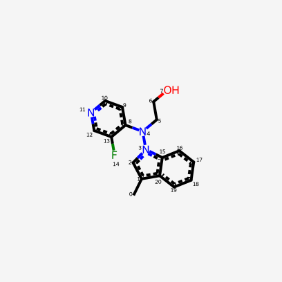 Cc1cn(N(CCO)c2ccncc2F)c2ccccc12